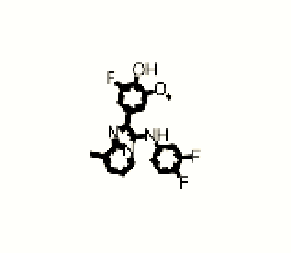 COc1cc(-c2nc3c(C)cccn3c2Nc2ccc(F)c(F)c2)cc(F)c1O